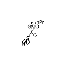 CCCC=C1SC(=O)N(CCC(CCSc2cccc3nccn23)C2CCCC2)C1=O